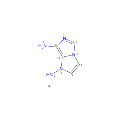 CNn1ccn2cnc(N)c12